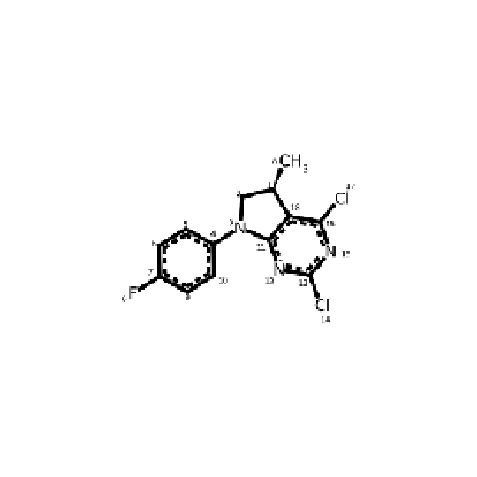 C[C@@H]1CN(c2ccc(F)cc2)c2nc(Cl)nc(Cl)c21